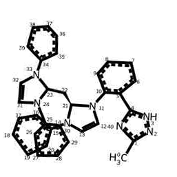 Cc1n[nH]c(-c2ccccc2N2C=CN(c3ccccc3)[C@H]2CC2N(c3ccccc3)C=CN2c2ccccc2)n1